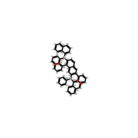 c1ccc(-c2cc3ccc(N(c4ccccc4)c4cccc5ccccc45)c(-c4ccccc4)c3cc2N(c2ccccc2)c2cccc3ccccc23)cc1